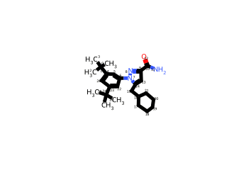 CC(C)(C)c1cc(-n2nc(C(N)=O)cc2CC2CCCCC2)cc(C(C)(C)C)c1